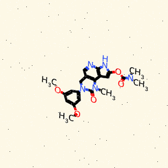 COc1cc(OC)cc(N2Cc3cnc4[nH]c(OC(=O)N(C)C)cc4c3N(C)C2=O)c1